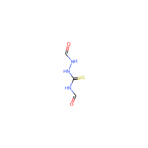 O=CNNC(=S)NC=O